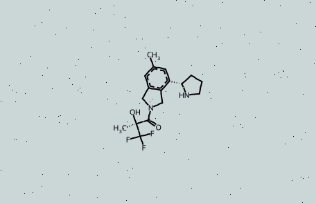 Cc1cc2c(c([C@@H]3CCCN3)c1)CN(C(=O)[C@](C)(O)C(F)(F)F)C2